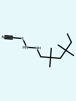 CCC(C)(C)CC(C)(C)CNNSC#N